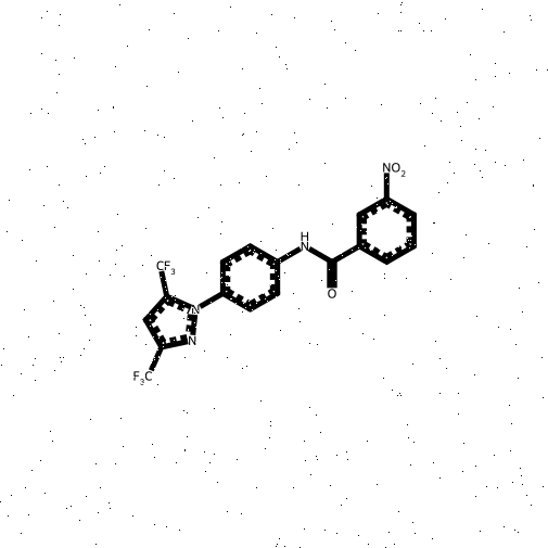 O=C(Nc1ccc(-n2nc(C(F)(F)F)cc2C(F)(F)F)cc1)c1cccc([N+](=O)[O-])c1